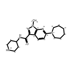 Cn1nc(C(=O)NC2CCNCC2)c2ccc(N3CCCCCC3)nc21